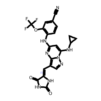 N#Cc1ccc(Nc2cc(NC3CC3)n3ncc(/C=C4\NC(=O)NC4=O)c3n2)c(OC(F)(F)F)c1